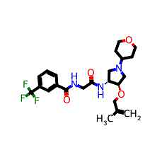 C=C(C)CO[C@@H]1CN(C2CCOCC2)C[C@H]1NC(=O)CNC(=O)c1cccc(C(F)(F)F)c1